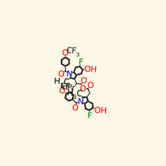 CCCC(C(=O)OC(=O)Cc1c(C)n(C(=O)c2ccc(OC(F)(F)F)cc2)c2cc(F)c(O)cc12)c1c(C)n(C(=O)c2ccc(OC(F)(F)F)cc2)c2cc(F)c(O)cc12